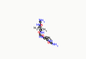 Cc1cc(NC(=O)c2ccc(N)cc2)ccc1-c1ccc(NC(=O)c2cccc(C(=O)Nc3ccc(-c4ccc(NC(=O)c5ccc(N)cc5)cc4C)c(C)c3)c2)cc1C